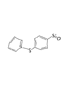 O=[S+]c1ccc(Sc2ccccc2)cc1